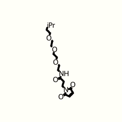 CC(C)CCOCCOCCOCCNC(=O)CCN1C(=O)C=CC1=O